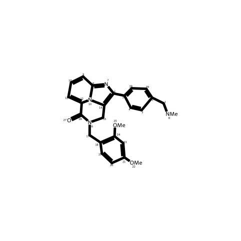 CNCc1ccc(-c2nc3cccc4n3c2CN(Cc2ccc(OC)cc2OC)C4=O)cc1